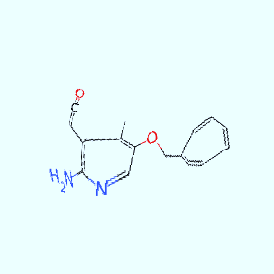 Cc1c(OCc2ccccc2)cnc(N)c1C=C=O